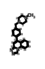 CN1CCN(Cc2ccc(-c3cc4nncn4c4ccccc34)cc2)CC1